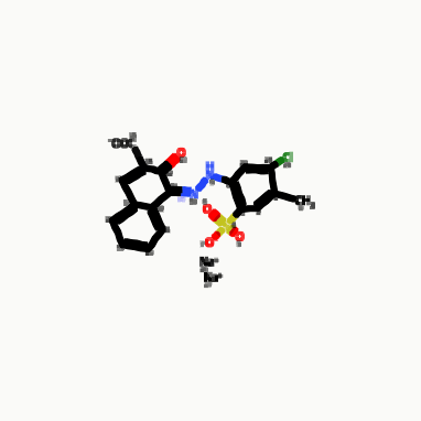 Cc1cc(S(=O)(=O)[O-])c(N/N=C2\C(=O)C(C(=O)[O-])=Cc3ccccc32)cc1Cl.[Na+].[Na+]